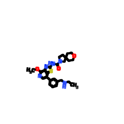 CCNCc1cccc(-c2cnc(OC)c3nc(NC(=O)N4CCC5(CCOCC5)C4)sc23)c1